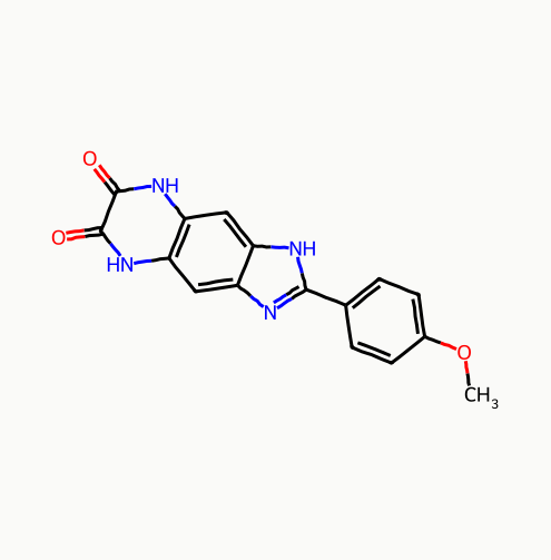 COc1ccc(-c2nc3cc4[nH]c(=O)c(=O)[nH]c4cc3[nH]2)cc1